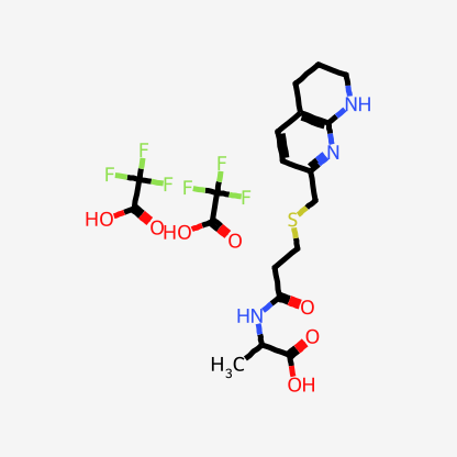 CC(NC(=O)CCSCc1ccc2c(n1)NCCC2)C(=O)O.O=C(O)C(F)(F)F.O=C(O)C(F)(F)F